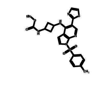 Cc1ccc(S(=O)(=O)n2ccc3c(NC4CC(NC(=O)OC(C)(C)C)C4)c(-c4nccs4)cnc32)cc1